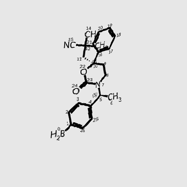 Bc1ccc([C@H](C)N2CC[C@](CC(C)(C)C#N)(c3ccccc3)OC2=O)cc1